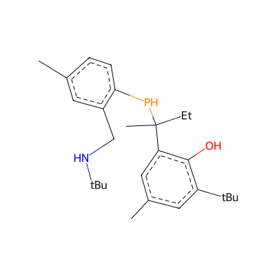 CCC(C)(Pc1ccc(C)cc1CNC(C)(C)C)c1cc(C)cc(C(C)(C)C)c1O